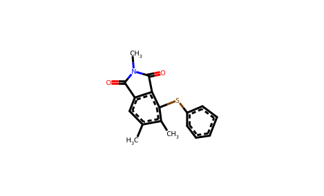 Cc1cc2c(c(Sc3ccccc3)c1C)C(=O)N(C)C2=O